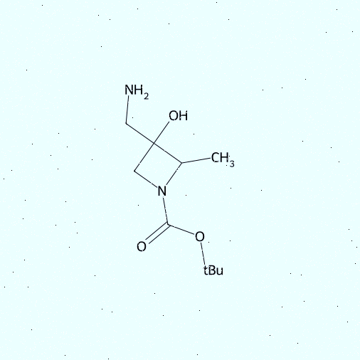 CC1N(C(=O)OC(C)(C)C)CC1(O)CN